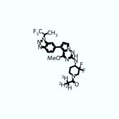 [2H]C([2H])([2H])C(=O)N1CC[C@@H](Nc2nc(OC)c3c(-c4ccc5nnn([C@H](C)C(F)(F)F)c5c4)ccn3n2)C(F)(F)C1